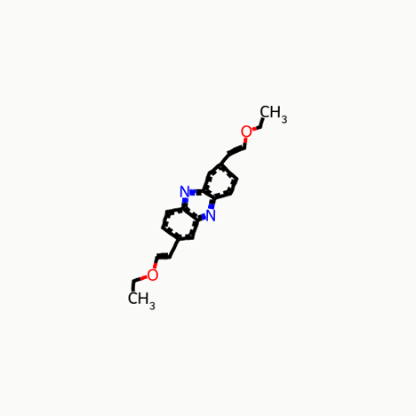 CCOC=Cc1ccc2nc3cc(C=COCC)ccc3nc2c1